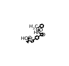 CC(OC(=O)Nc1cocc1-c1ccc(-c2ccc(C3(C(=O)O)CC3)s2)cc1)c1ccccc1